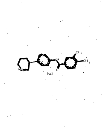 Cc1ccc(C(=O)Nc2ccc([C@@H]3CCCNC3)cc2)cc1C.Cl